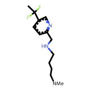 CNCCCCNCc1ccc(C(C)(F)F)cn1